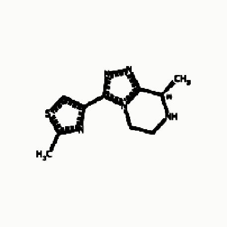 Cc1nc(-c2nnc3n2CCN[C@@H]3C)cs1